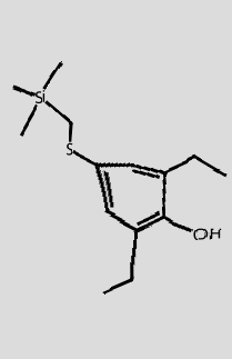 CCc1cc(SC[Si](C)(C)C)cc(CC)c1O